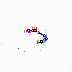 O=C1CCC(N2Cc3cc(N4CC(C#Cc5cnn(C6(C(=O)Nc7ccc(C(F)(F)F)cc7Cl)CCC6)c5)C4)c4c(c3C2=O)OCO4)C(=O)N1